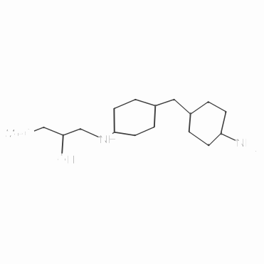 COCC(O)CNC1CCC(CC2CCC(N)CC2)CC1